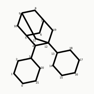 C1CCC(C2C3CC4CC(C3)CC2(C2CCCCC2)C4)CC1